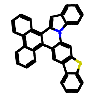 c1ccc2c(c1)cc1c3c4ccccc4c4ccccc4c3c3cc4c(cc3n21)sc1ccccc14